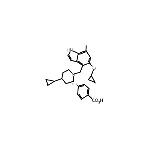 Cc1cc(OC2CC2)c(CN2CCC(C3CC3)C[C@H]2c2ccc(C(=O)O)cc2)c2cc[nH]c12